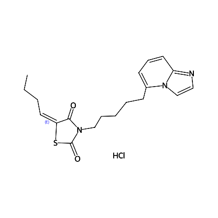 CCC/C=C1/SC(=O)N(CCCCCc2cccc3nccn23)C1=O.Cl